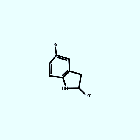 CC(C)C1Cc2cc(Br)ccc2N1